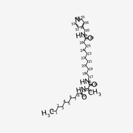 CCCCCCCCCC(=O)N[C@H](C)C(=O)NCCCCCCCCCCC(=O)NCc1ccncc1